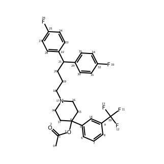 CC(=O)OC1(c2cccc(C(F)(F)F)c2)CCN(CCCC(c2ccc(F)cc2)c2ccc(F)cc2)CC1